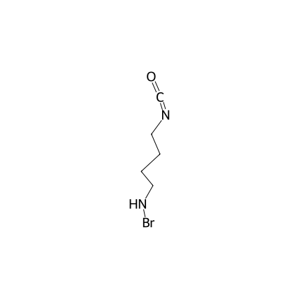 O=C=NCCCCNBr